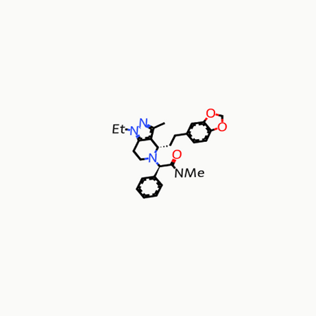 CCn1nc(C)c2c1CCN([C@@H](C(=O)NC)c1ccccc1)[C@H]2CCc1ccc2c(c1)OCO2